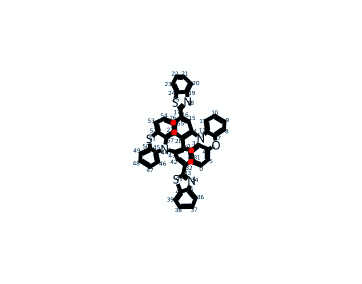 c1ccc2c(c1)Oc1ccccc1N2c1cc(-c2nc3ccccc3s2)ccc1-c1ccc(-c2nc3ccccc3s2)cc1N1c2ccccc2Sc2ccccc21